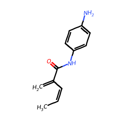 C=C(/C=C\C)C(=O)Nc1ccc(N)cc1